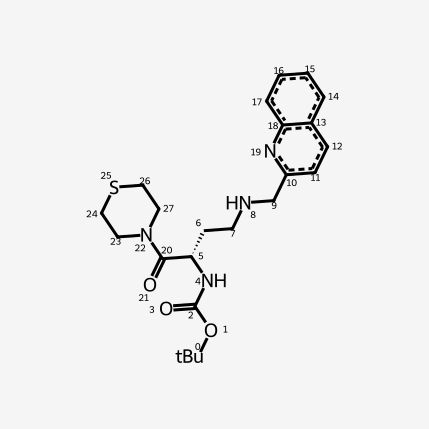 CC(C)(C)OC(=O)N[C@@H](CCNCc1ccc2ccccc2n1)C(=O)N1CCSCC1